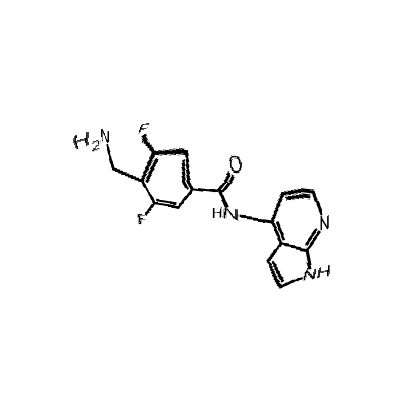 NCc1c(F)cc(C(=O)Nc2ccnc3[nH]ccc23)cc1F